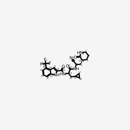 N#CC(C[C@@H]1CCCNC1=O)NC(=O)C(CC1CC1)NC(=O)c1cc2c(C(F)(F)F)cccc2[nH]1